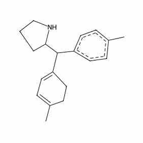 CC1=CC=C(C(c2ccc(C)cc2)C2CCCN2)CC1